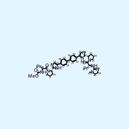 COC(=O)NC(C(=O)N1CCC[C@H]1c1ncc(-c2ccc(-c3ccc(-c4cnc([C@@H]5CCCN5C(=O)[C@H](NC5=NCCN5C)C(C)C)[nH]4)cc3)cc2)[nH]1)C(C)C